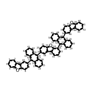 c1ccc2c(c1)oc1ccc(-c3c4ccccc4c(-c4ccc5oc6c(-c7c8ccccc8c(-c8ccc9oc%10ccccc%10c9c8)c8ccccc78)cccc6c5c4)c4ccccc34)cc12